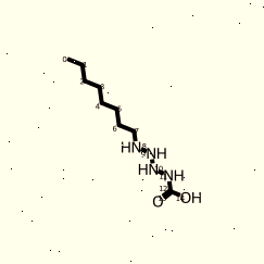 CCCCCCCCNNNNC(=O)O